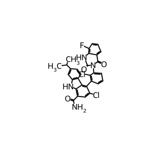 CC(C)c1ccc2c(c1)[nH]c1c(C(N)=O)cc(Cl)c(-c3cccc(-n4c(=O)[nH]c5c(F)cccc5c4=O)c3Cl)c12